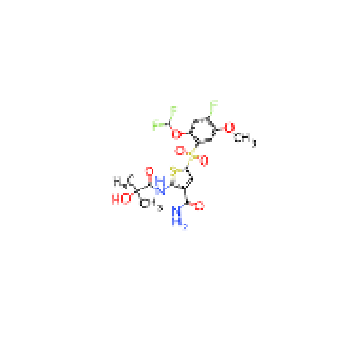 COc1cc(S(=O)(=O)c2cc(C(N)=O)c(NC(=O)C(C)(C)O)s2)c(OC(F)F)cc1F